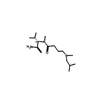 C=C(N)[C@H](C(C)C)N(C)C(=O)CCCN(C)CC(C)C